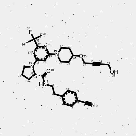 N#Cc1ccc(CCNC(=O)[C@@H]2CCCN2c2cc(N3CCC(OCC#CCO)CC3)nc(C(F)(F)F)n2)cc1